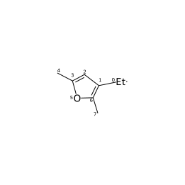 C[CH]c1cc(C)oc1C